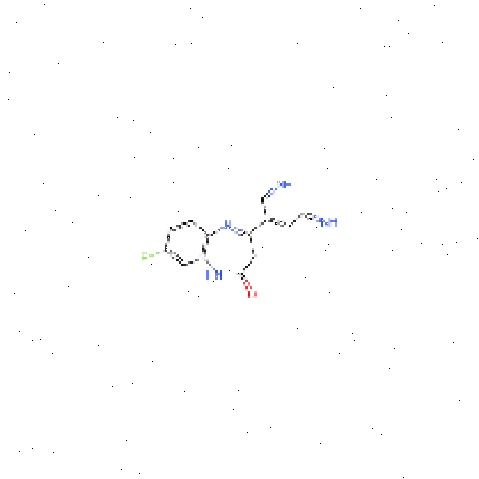 N=C/C=C(\C=N)C1=Nc2ccc(F)cc2NC(=O)C1